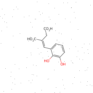 O=C(O)CC(=Cc1cccc(O)c1O)C(=O)O